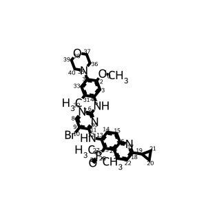 COc1cc(Nc2ncc(Br)c(Nc3ccc4nc(C5CC5)ccc4c3P(C)(C)=O)n2)c(C)cc1N1CCOCC1